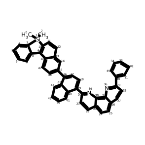 C[Si]1(C)c2ccccc2-c2c1ccc1cc(-c3ccc(-c4ccc5ccc6ccc(-c7ccccc7)nc6c5n4)c4ccccc34)ccc21